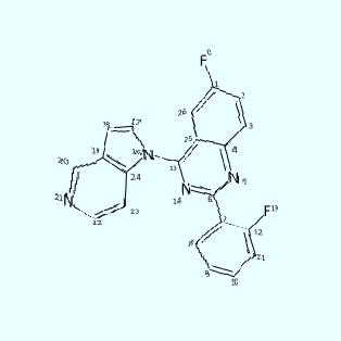 Fc1ccc2nc(-c3ccccc3F)nc(-n3ccc4cnccc43)c2c1